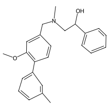 COc1cc(CN(C)CC(O)c2ccccc2)ccc1-c1cccc(C)c1